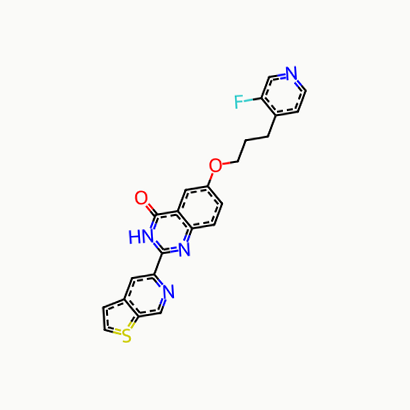 O=c1[nH]c(-c2cc3ccsc3cn2)nc2ccc(OCCCc3ccncc3F)cc12